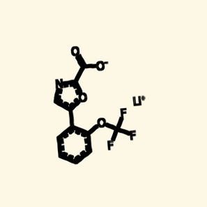 O=C([O-])c1ncc(-c2ccccc2OC(F)(F)F)o1.[Li+]